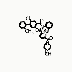 COc1cc(-c2ccccc2C)c(Cl)cc1C(=O)N1Cc2ccc(C(=O)N3CCN(C)CC3)n2Cc2ccccc21